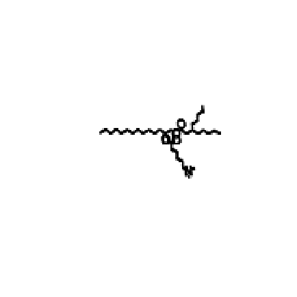 CCCCCCCCCCCCC(COC(=O)CC(CCCCC)CCCCC)OC(=O)CCCCCN(C)C